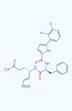 CCOC(=O)/C=C/[C@H](CCC(N)=O)NC(=O)[C@H](Cc1ccccc1)NC(=O)c1ccc(-c2cccc(Cl)c2Cl)[nH]1